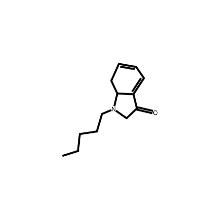 CCCCCN1CC(=O)C2=CC=CCC21